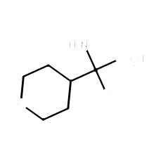 NC(Br)(C(=O)O)C1CCOCC1